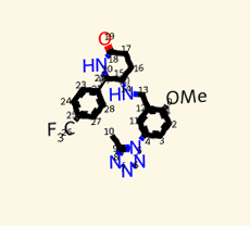 COc1ccc(-n2nnnc2C)cc1CN[C@@H]1CCC(=O)N[C@@H]1c1ccc(C(F)(F)F)cc1